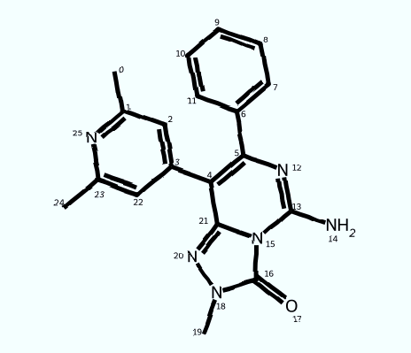 Cc1cc(-c2c(-c3ccccc3)nc(N)n3c(=O)n(C)nc23)cc(C)n1